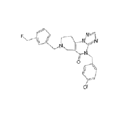 O=c1c2c(n3ncnc3n1Cc1ccc(Cl)cc1)CCN(Cc1cccc(CF)c1)C2